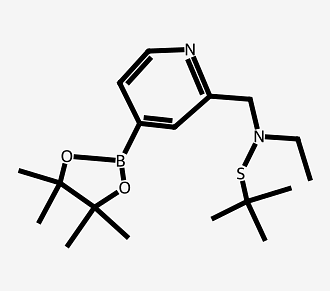 CCN(Cc1cc(B2OC(C)(C)C(C)(C)O2)ccn1)SC(C)(C)C